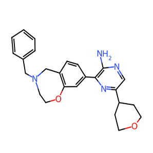 Nc1ncc(C2CCOCC2)nc1-c1ccc2c(c1)OCCN(Cc1ccccc1)C2